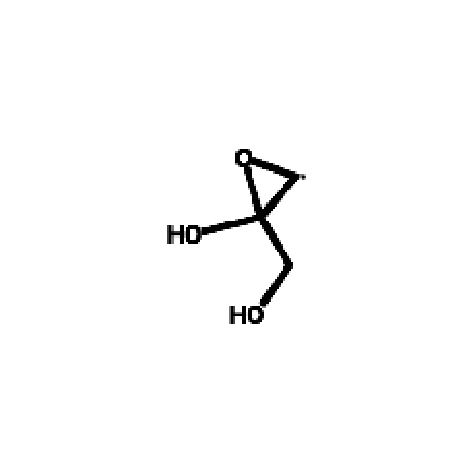 OCC1(O)[CH]O1